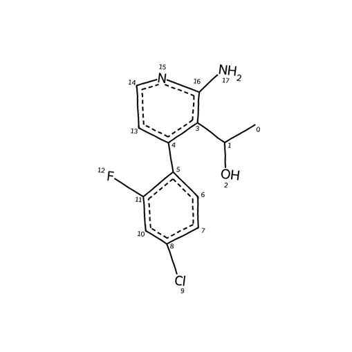 CC(O)c1c(-c2ccc(Cl)cc2F)ccnc1N